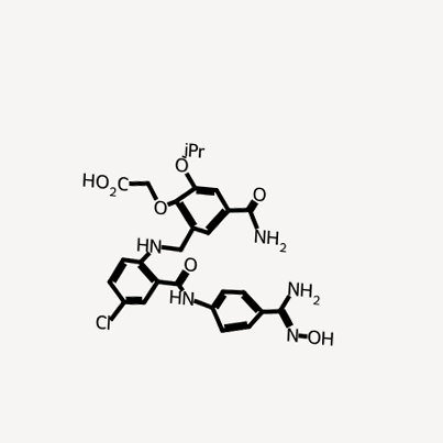 CC(C)Oc1cc(C(N)=O)cc(CNc2ccc(Cl)cc2C(=O)Nc2ccc(/C(N)=N/O)cc2)c1OCC(=O)O